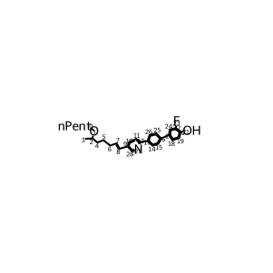 CCCCCOC(C)CCCC=Cc1ccc(-c2ccc(-c3ccc(O)c(F)c3)cc2)nc1